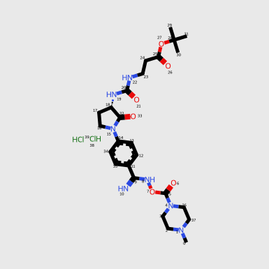 CN1CCN(C(=O)ONC(=N)c2ccc(N3CC[C@H](NC(=O)NCCC(=O)OC(C)(C)C)C3=O)cc2)CC1.Cl.Cl